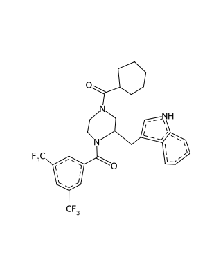 O=C(C1CCCCC1)N1CCN(C(=O)c2cc(C(F)(F)F)cc(C(F)(F)F)c2)C(Cc2c[nH]c3ccccc23)C1